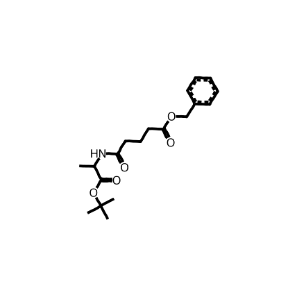 CC(NC(=O)CCCC(=O)OCc1ccccc1)C(=O)OC(C)(C)C